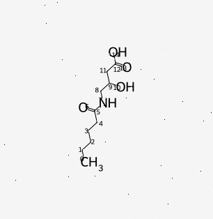 CCCCCC(=O)NCC(O)CC(=O)O